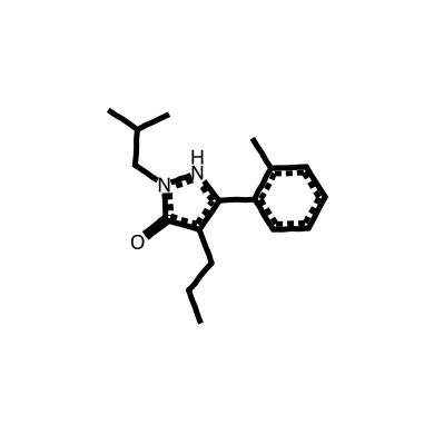 CCCc1c(-c2ccccc2C)[nH]n(CC(C)C)c1=O